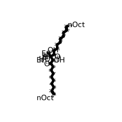 CCCCCCCCC=CCCCCCCCC(=O)C(O)C(O)(CO)C(=O)CCCCCCCC=CCCCCCCCC.CCOCC